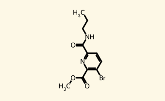 CCCNC(=O)c1ccc(Br)c(C(=O)OC)n1